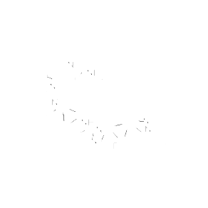 COCCn1ncc(-c2ccc(-c3cnc(C(=O)Nc4ccc(C(=O)N5CCN(C(=O)C6CC[N+](C)(CC(N)=O)CC6)CC5)c(Cl)c4)n3C)c(F)c2F)c1C